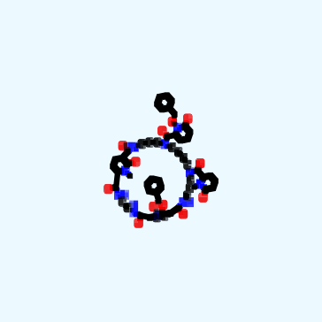 Cn1c(C(=O)N2CCCCN(C(=O)c3cccc(=O)n3OCc3ccccc3)CCCNC(=O)c3ccc(n(C)c3=O)C(=O)NCCNC(=O)c3ccc(c(=O)n3OCc3ccccc3)C(=O)NCCC2)cccc1=O